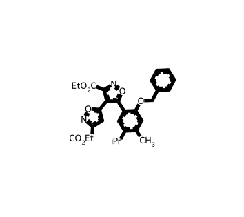 CCOC(=O)c1cc(-c2c(C(=O)OCC)noc2-c2cc(C(C)C)c(C)cc2OCc2ccccc2)on1